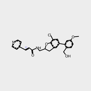 COc1ccc(CO)c(-c2cc(Cl)c3c(c2)CC(CNC(=O)/C=C/c2ccncc2)O3)c1